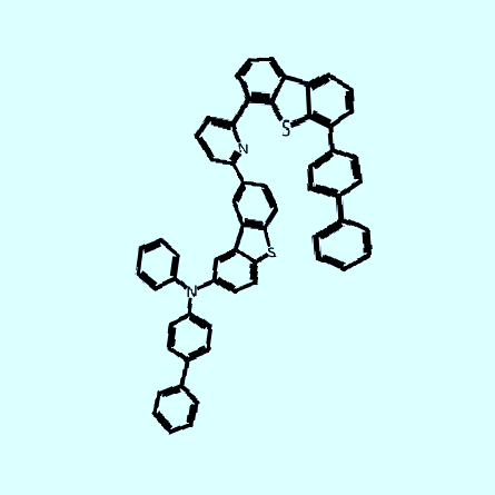 c1ccc(-c2ccc(-c3cccc4c3sc3c(-c5cccc(-c6ccc7sc8ccc(N(c9ccccc9)c9ccc(-c%10ccccc%10)cc9)cc8c7c6)n5)cccc34)cc2)cc1